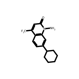 Nn1c(=O)cc(C(F)(F)F)c2ccc(C3CCCCC3)cc21